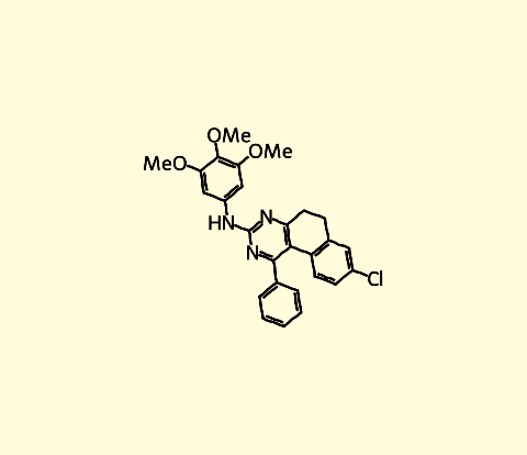 COc1cc(Nc2nc3c(c(-c4ccccc4)n2)-c2ccc(Cl)cc2CC3)cc(OC)c1OC